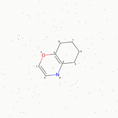 C1=COC2=C(CCCC2)[N]1